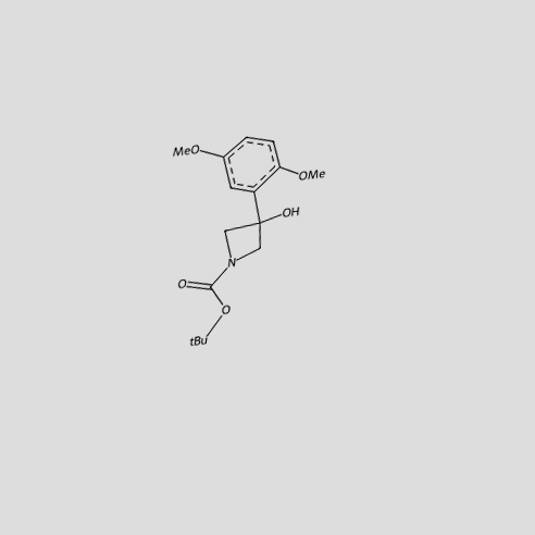 COc1ccc(OC)c(C2(O)CN(C(=O)OC(C)(C)C)C2)c1